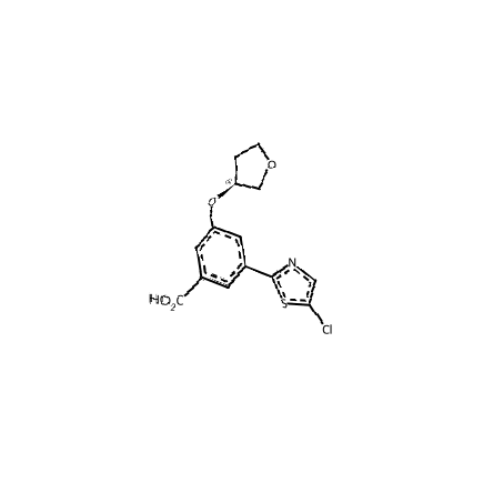 O=C(O)c1cc(O[C@H]2CCOC2)cc(-c2ncc(Cl)s2)c1